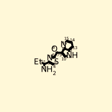 CCC(N)c1csc(C(=O)c2c[nH]c3cccnc23)n1